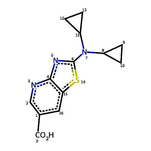 O=C(O)c1cnc2nc(N(C3CC3)C3CC3)sc2c1